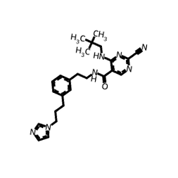 CC(C)(C)CNc1nc(C#N)ncc1C(=O)NCCc1cccc(CCCn2ccnc2)c1